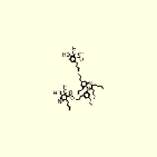 CCCCC(=Nc1cc(CCC)cc(CCC)c1)C(CCCC)=Nc1cc(CCC)cc(CCC)c1.CCCCc1ccc(O)c(O)c1C(=O)[O-].CCCCc1ccc(O)c(O)c1C(=O)[O-].[Ni+2]